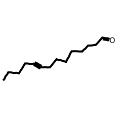 CCCCC#CCCCCCCCC=O